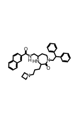 O=C(NCC1CCN(CC(c2ccccc2)c2ccccc2)C(=O)C(CCCN2CCC2)N1)c1ccc2ccccc2c1